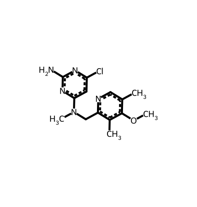 COc1c(C)cnc(CN(C)c2cc(Cl)nc(N)n2)c1C